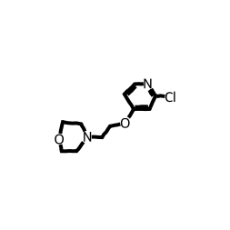 Clc1cc(OCCN2CCOCC2)ccn1